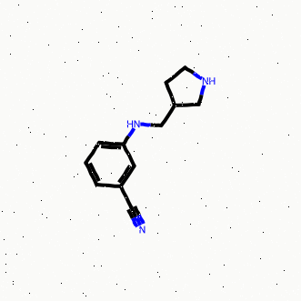 N#Cc1cccc(NCC2CCNC2)c1